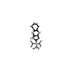 CC(C)[Si](c1cc2nc3ccccc3nc2[nH]1)(C(C)C)C(C)C